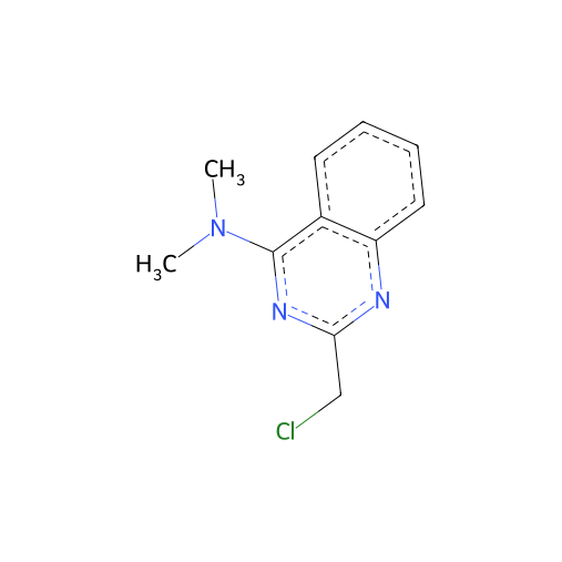 CN(C)c1nc(CCl)nc2ccccc12